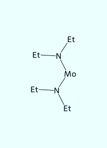 CC[N](CC)[Mo][N](CC)CC